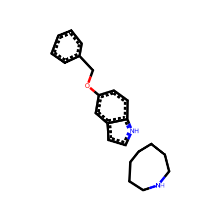 C1CCCNCCC1.c1ccc(COc2ccc3[nH]ccc3c2)cc1